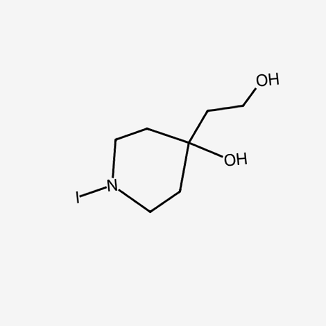 OCCC1(O)CCN(I)CC1